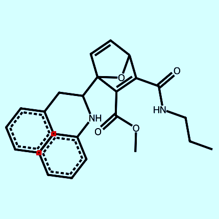 CCCNC(=O)C1=C(C(=O)OC)C2(C(Cc3ccccc3)Nc3ccccc3)C=CC1O2